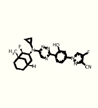 C[C@@]12CCC[C@@H](C[C@H](N(c3cnc(-c4ccc(-n5cc(F)c(C#N)n5)cc4O)nn3)C3CC3)[C@@H]1F)C2